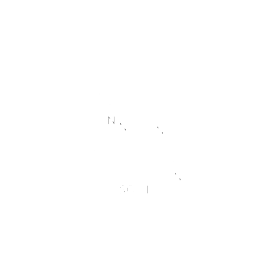 CN1CC2CCN(c3ccc(-c4ccccc4)nn3)CC21.Cc1ccc(S(=O)(=O)O)cc1